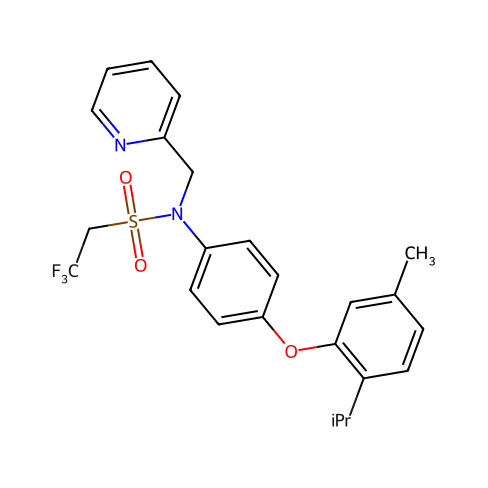 Cc1ccc(C(C)C)c(Oc2ccc(N(Cc3ccccn3)S(=O)(=O)CC(F)(F)F)cc2)c1